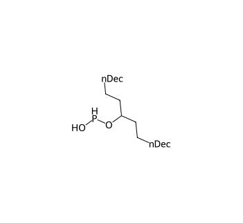 CCCCCCCCCCCCC(CCCCCCCCCCCC)OPO